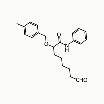 Cc1ccc(COC(CCCCCC=O)C(=O)Nc2ccccc2)cc1